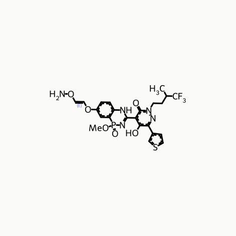 COP1(=O)N=C(c2c(O)c(-c3ccsc3)nn(CCC(C)C(F)(F)F)c2=O)Nc2ccc(O/C=C/ON)cc21